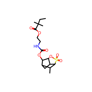 CCC(C)(C)C(=O)OCCNC(=O)OC1C2CC3C1OS(=O)(=O)C3C2C